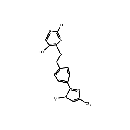 Cn1cc(C(F)(F)F)nc1-c1ccc(COc2nc(Cl)ncc2O)cc1